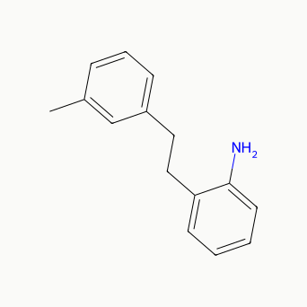 Cc1cccc(CCc2ccccc2N)c1